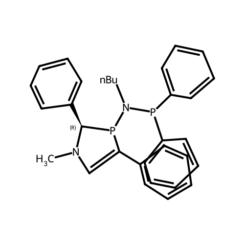 CCCCN(P(c1ccccc1)c1ccccc1)P1C(c2ccccc2)=CN(C)[C@H]1c1ccccc1